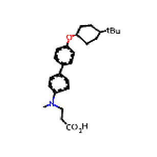 CN(CCC(=O)O)c1ccc(-c2ccc(OC3CCC(C(C)(C)C)CC3)cc2)cc1